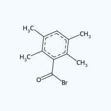 Cc1cc(C)c(C)c(C(=O)Br)c1C